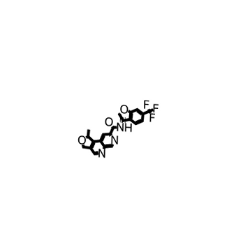 CC1OCc2cnc3cnc(C(=O)N[C@@H]4COc5cc(C(F)(F)F)ccc54)cc3c21